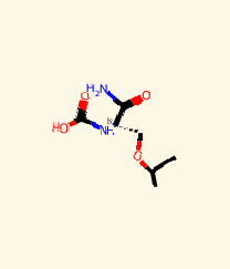 CC(C)OC[C@H](NC(=O)O)C(N)=O